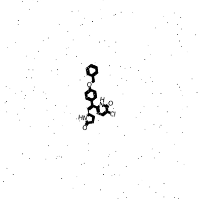 O=C1CC[C@H](C=C(c2ccc(OCc3ccccc3)cc2)c2ccc(Cl)c(=O)[nH]2)N1